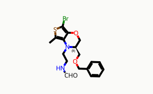 Cc1sc(Br)c2c1N(CCNC=O)[C@H](COCc1ccccc1)CO2